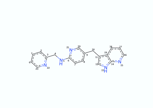 c1ccc(CNc2ccc(Cc3c[nH]c4ncccc34)cn2)nc1